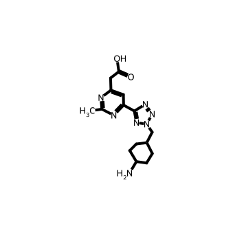 Cc1nc(CC(=O)O)cc(-c2nnn(CC3CCC(N)CC3)n2)n1